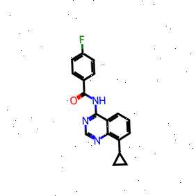 O=C(Nc1ncnc2c(C3CC3)cccc12)c1ccc(F)cc1